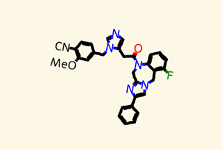 [C-]#[N+]c1ccc(Cn2cncc2CC(=O)N2Cc3nc(-c4ccccc4)cn3Cc3c(F)cccc32)cc1OC